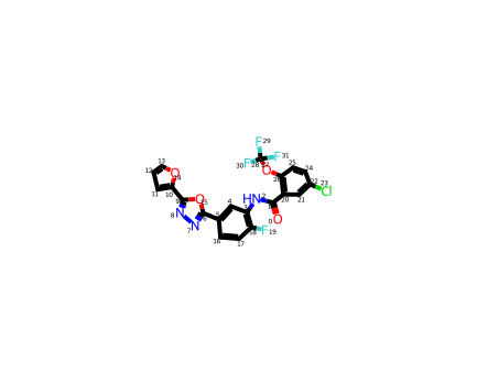 O=C(Nc1cc(-c2nnc(-c3ccco3)o2)ccc1F)c1cc(Cl)ccc1OC(F)(F)F